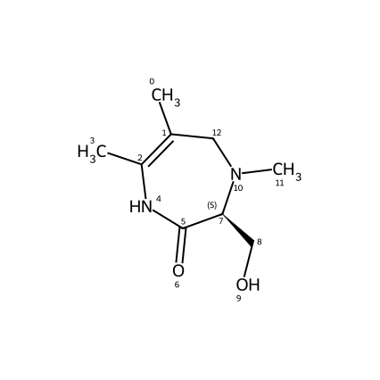 CC1=C(C)NC(=O)[C@H](CO)N(C)C1